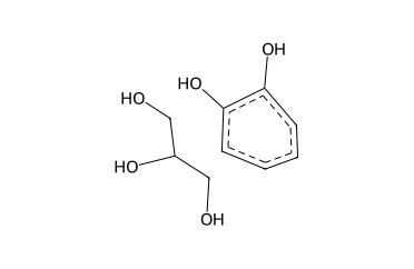 OCC(O)CO.Oc1ccccc1O